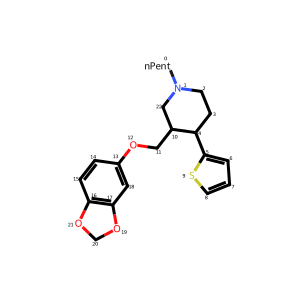 CCCCCN1CCC(c2cccs2)C(COc2ccc3c(c2)OCO3)C1